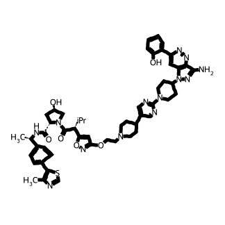 Cc1ncsc1-c1ccc([C@H](C)NC(=O)[C@@H]2C[C@@H](O)CN2C(=O)[C@@H](c2cc(OCCN3CCC(c4cnc(N5CCC(n6nc(N)c7nnc(-c8ccccc8O)cc76)CC5)nc4)CC3)no2)C(C)C)cc1